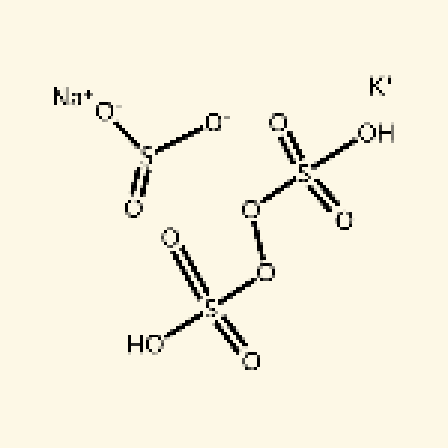 O=S(=O)(O)OOS(=O)(=O)O.O=S([O-])[O-].[K+].[Na+]